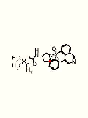 CC(C)(C)OC(=O)N[C@H]1CCN(S(=O)(=O)c2cccc3cncc(-c4ccccc4)c23)C1